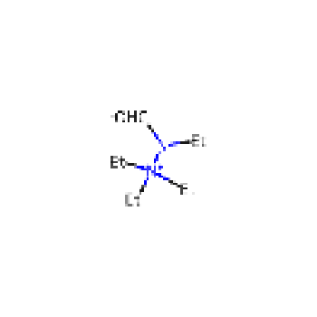 CCN([C]=O)[N+](CC)(CC)CC